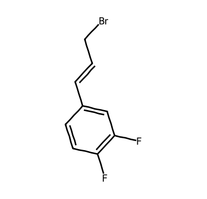 Fc1ccc(C=CCBr)cc1F